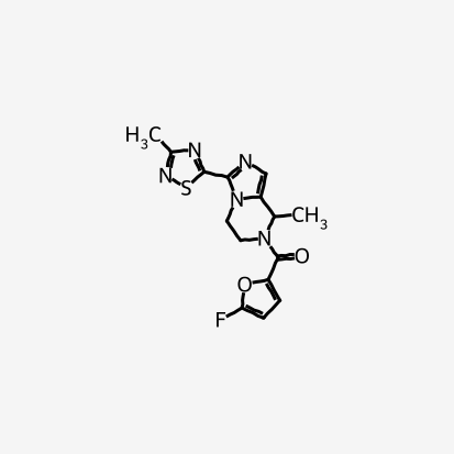 Cc1nsc(-c2ncc3n2CCN(C(=O)c2ccc(F)o2)C3C)n1